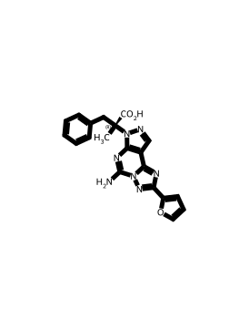 C[C@@](Cc1ccccc1)(C(=O)O)n1ncc2c1nc(N)n1nc(-c3ccco3)nc21